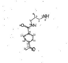 CNCC(C)CNC(=O)c1ccc(C(C)=O)cc1